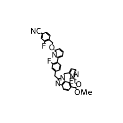 CCn1nccc1Cn1c(Cc2ccc(-c3cccc(OCc4ccc(C#N)cc4F)n3)c(F)c2)nc2ccc(C(=O)OC)cc21